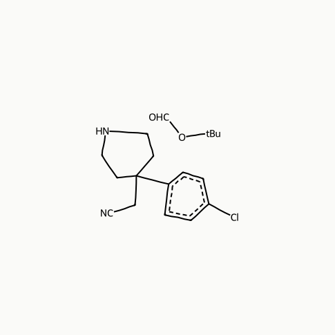 CC(C)(C)OC=O.N#CCC1(c2ccc(Cl)cc2)CCNCC1